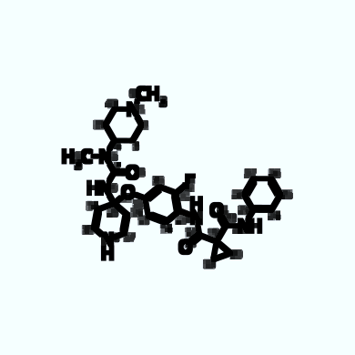 CN1CCC(N(C)C(=O)NC2(Oc3ccc(NC(=O)C4(C(=O)Nc5ccccc5)CC4)c(F)c3)C=CNC=C2)CC1